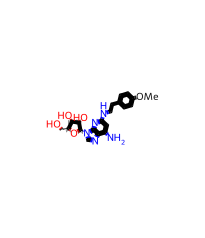 COc1ccc(CCNc2cc(N)c3ncn([C@@H]4O[C@H](CO)[C@@H](O)[C@H]4O)c3n2)cc1